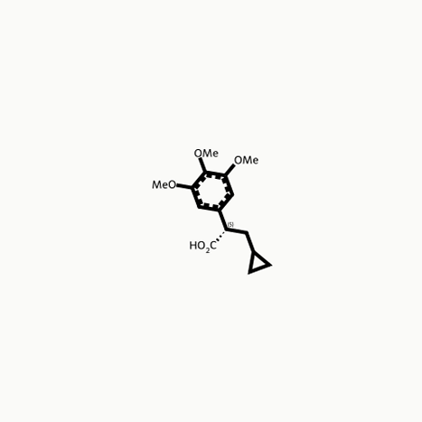 COc1cc([C@H](CC2CC2)C(=O)O)cc(OC)c1OC